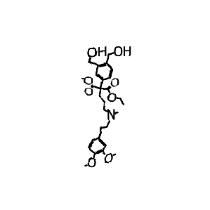 CCOC(=O)C(CCCN(C)CCc1ccc(OC)c(OC)c1)(C(=O)OC)c1ccc(CO)c(CO)c1